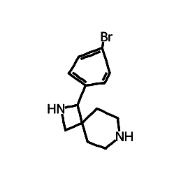 Brc1ccc(C2NCC23CCNCC3)cc1